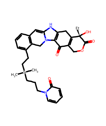 CC[C@@]1(O)C(=O)OCC2=C1CC1=C(C2=O)N2Cc3c(cccc3CC[Si](C)(C)CCCn3ccccc3=O)C=C2N1